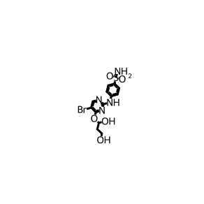 NS(=O)(=O)c1ccc(Nc2ncc(Br)c(OC(O)CCO)n2)cc1